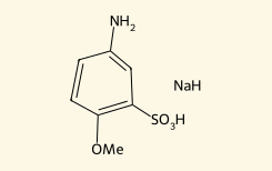 COc1ccc(N)cc1S(=O)(=O)O.[NaH]